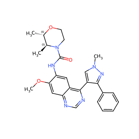 COc1cc2ncnc(-c3cn(C)nc3-c3ccccc3)c2cc1NC(=O)N1CCO[C@@H](C)[C@@H]1C